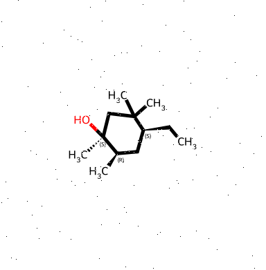 CC[C@H]1C[C@@H](C)[C@@](C)(O)CC1(C)C